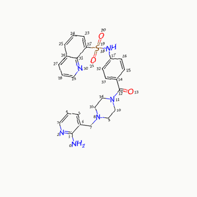 Nc1ncccc1CN1CCN(C(=O)c2ccc(NS(=O)(=O)c3cccc4cccnc34)cc2)CC1